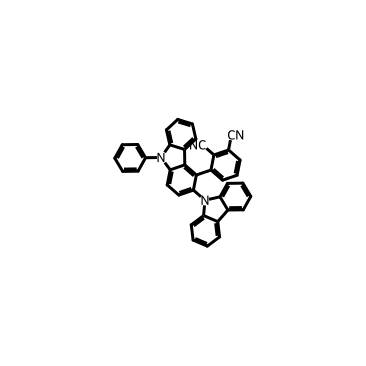 N#Cc1cccc(-c2c(-n3c4ccccc4c4ccccc43)ccc3c2c2ccccc2n3-c2ccccc2)c1C#N